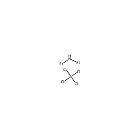 CCNCC.[Cl][Zr]([Cl])([Cl])[Cl]